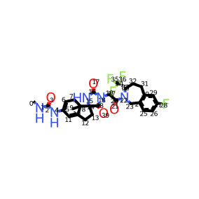 CNC(=O)NC1=CCC2(C)C(=C1)CCC21NC(=O)N(CC(=O)N2Cc3ccc(F)cc3CC[C@H]2C(F)(F)F)C1=O